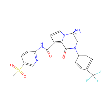 CS(=O)(=O)c1ccc(NC(=O)c2ccn3c2C(=O)N(c2ccc(C(F)(F)F)cc2)C[C@@H]3N)nc1